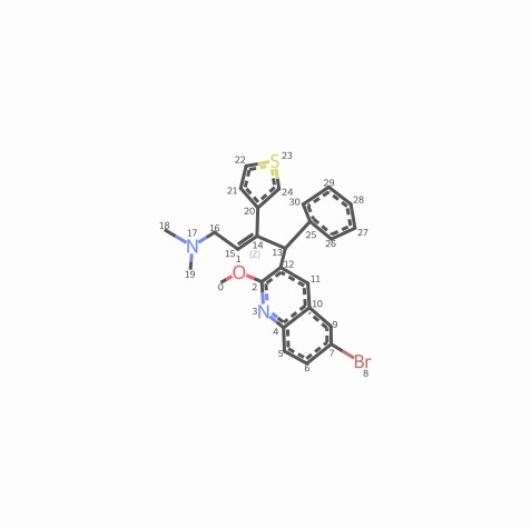 COc1nc2ccc(Br)cc2cc1C(/C(=C/CN(C)C)c1ccsc1)c1ccccc1